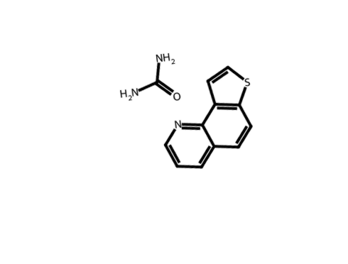 NC(N)=O.c1cnc2c(c1)ccc1sccc12